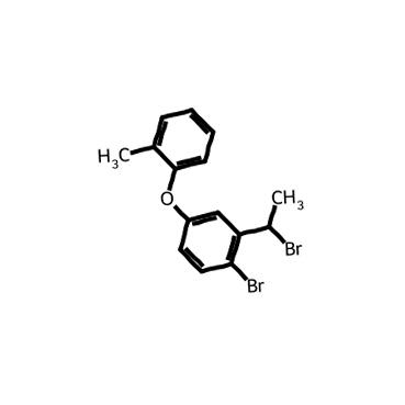 Cc1ccccc1Oc1ccc(Br)c(C(C)Br)c1